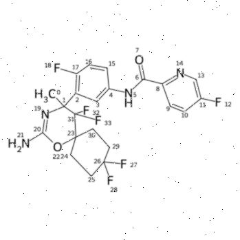 CC1(c2cc(NC(=O)c3ccc(F)cn3)ccc2F)N=C(N)OC2(CCC(F)(F)CC2)C1(F)F